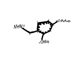 [CH2]NCc1ccc(OC)cc1OC